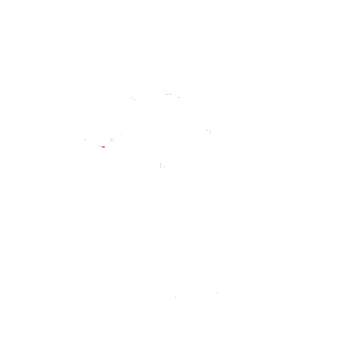 CC(C)(C)c1ccc(N2B3c4cc(N(c5ccccc5)c5ccccc5)ccc4N(c4ccc(C(C)(C)C)cc4-c4ccccc4)c4c3c(cc3ccccc43)-c3c2ccc2c3oc3cc4c(cc32)C(C)(C)CCC4(C)C)cc1